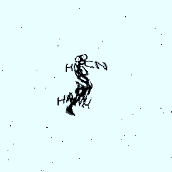 CN(c1nccc(Nc2cc(C3CC3)[nH]n2)n1)C1CCN(CC(=O)Nc2cc(C#N)cc(S(C)(=O)=O)c2)CC1